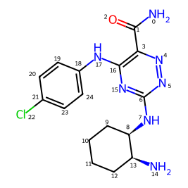 NC(=O)c1nnc(N[C@@H]2CCCC[C@@H]2N)nc1Nc1ccc(Cl)cc1